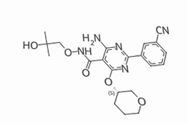 CC(C)(O)CONC(=O)c1c(N)nc(-c2cccc(C#N)c2)nc1O[C@H]1CCCOC1